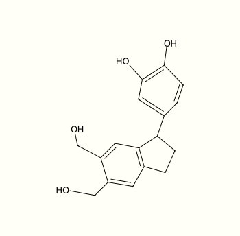 OCc1cc2c(cc1CO)C(c1ccc(O)c(O)c1)CC2